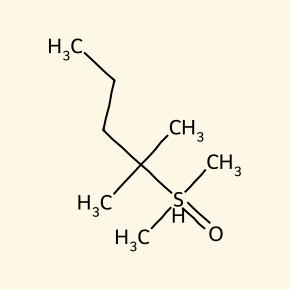 CCCC(C)(C)[SH](C)(C)=O